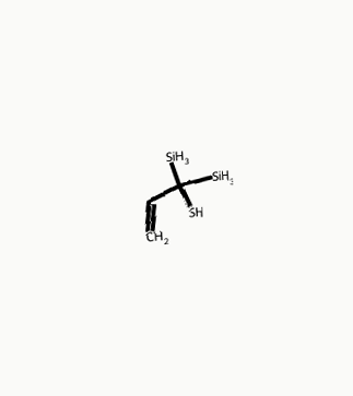 C=CC([SiH3])([SiH3])S